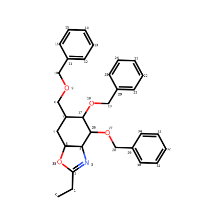 CCC1=NC2C(CC(COCc3ccccc3)C(OCc3ccccc3)C2OCc2ccccc2)O1